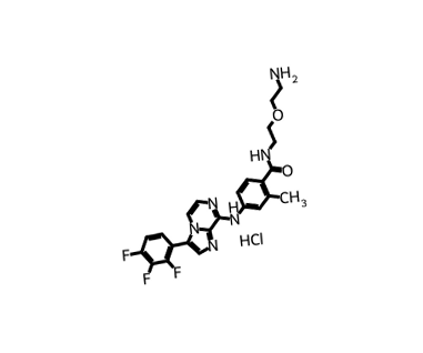 Cc1cc(Nc2nccn3c(-c4ccc(F)c(F)c4F)cnc23)ccc1C(=O)NCCOCCN.Cl